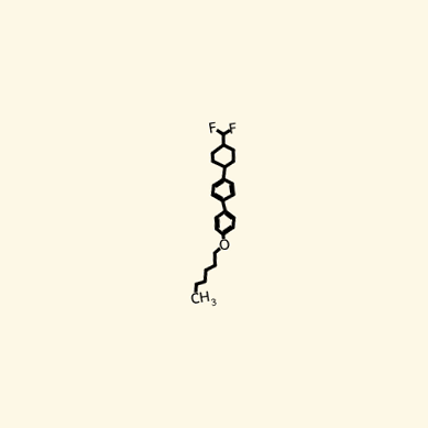 CCCCCCOc1ccc(-c2ccc(C3CCC(C(F)F)CC3)cc2)cc1